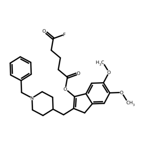 COc1cc2c(cc1OC)C(OC(=O)CCCC(=O)F)=C(CC1CCN(Cc3ccccc3)CC1)C2